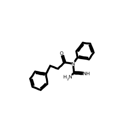 N=C(N)N(C(=O)CCc1ccccc1)c1ccccc1